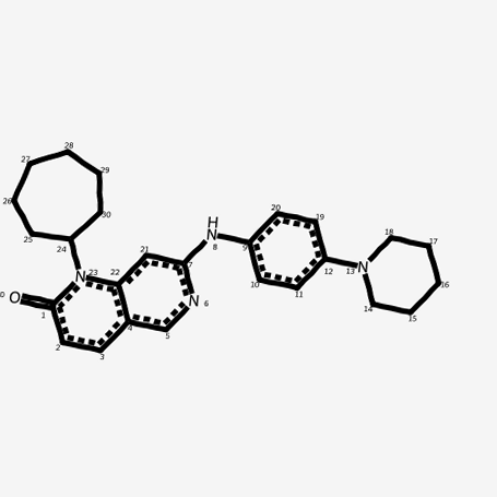 O=c1ccc2cnc(Nc3ccc(N4CCCCC4)cc3)cc2n1C1CCCCCC1